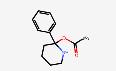 CCCC(=O)OC1(c2ccccc2)CCCCN1